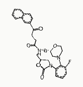 O=C(CCC(=O)[N@@H+]([O-])CC1CN(c2cccc(F)c2N2CCOCC2)C(=O)O1)c1ccc2ccccc2c1